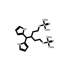 COP(=O)(OC)OCCC(CCOP(=O)(OC)OC)C(c1ccc[nH]1)c1ccc[nH]1